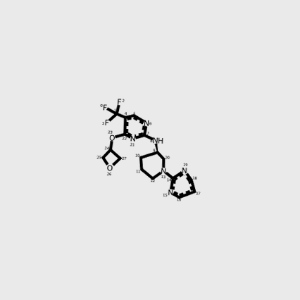 FC(F)(F)c1cnc(N[C@@H]2CCCN(c3ncccn3)C2)nc1OC1COC1